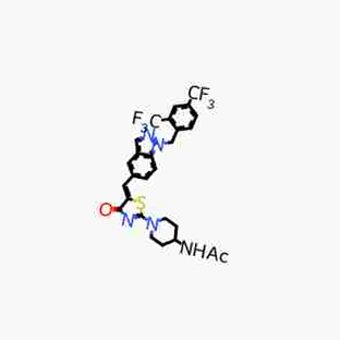 CC(=O)NC1CCN(C2=NC(=O)/C(=C/c3ccc4c(cnn4Cc4ccc(C(F)(F)F)cc4C(F)(F)F)c3)S2)CC1